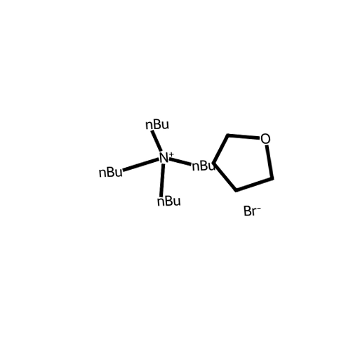 C1CCOC1.CCCC[N+](CCCC)(CCCC)CCCC.[Br-]